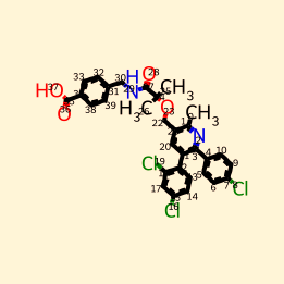 Cc1nc(-c2ccc(Cl)cc2)c(-c2ccc(Cl)cc2Cl)cc1COC(C)(C)C(=O)NCc1ccc(C(=O)O)cc1